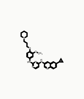 COc1cc(Nc2nccc(Nc3cnc4ccc(C5CC5)cc4c3)n2)ccc1OCCCN1CCCCC1